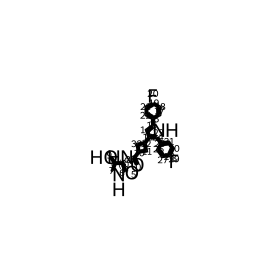 O=C(N[C@@H]1C(=O)NCC1O)C1CC(c2cc(-c3ccc(F)cc3)[nH]c2-c2ccc(F)cc2)C1